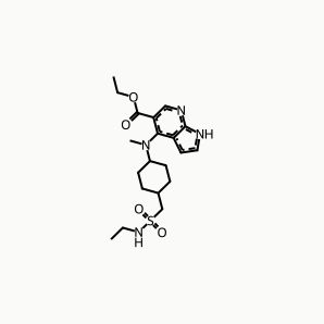 CCNS(=O)(=O)CC1CCC(N(C)c2c(C(=O)OCC)cnc3[nH]ccc23)CC1